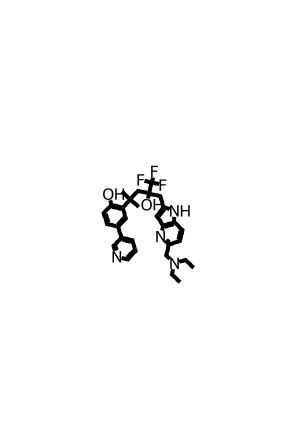 CCN(CC)Cc1ccc2[nH]c(CC(O)(CC(C)(C)c3cc(-c4cccnc4)ccc3O)C(F)(F)F)cc2n1